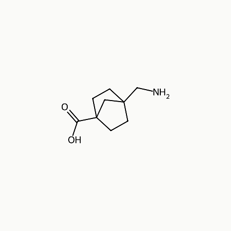 NCC12CCC(C(=O)O)(CC1)C2